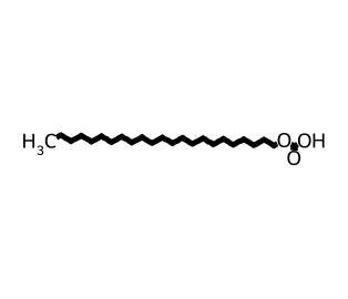 CCCCCCCCCCCCCCCCCCCCCCCOC(=O)O